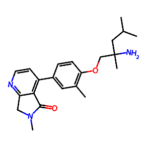 Cc1cc(-c2ccnc3c2C(=O)N(C)C3)ccc1OCC(C)(N)CC(C)C